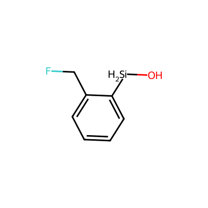 O[SiH2]c1ccccc1CF